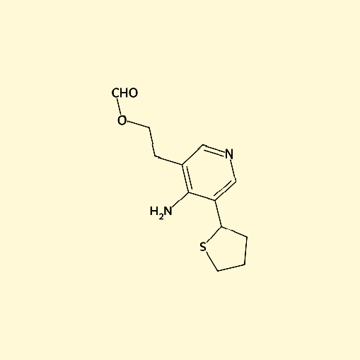 Nc1c(CCOC=O)cncc1C1CCCS1